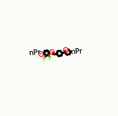 CCCOc1ccc(OCC2CCC(C3CCC(CCC)CO3)CC2)c(F)c1F